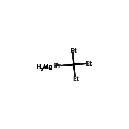 CCC(CC)(CC)[C](C)C.[MgH2]